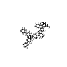 CC1(C)c2ccccc2-c2c1ccc1c2sc2c(-c3ccc(-n4c5ccc(-c6ccccc6)cc5c5cc(-c6ccccc6)ccc54)cc3)cccc21